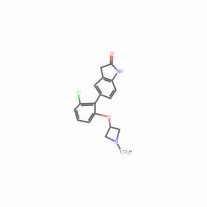 O=C1Cc2cc(-c3c(Cl)cccc3OC3CN(C(=O)O)C3)ccc2N1